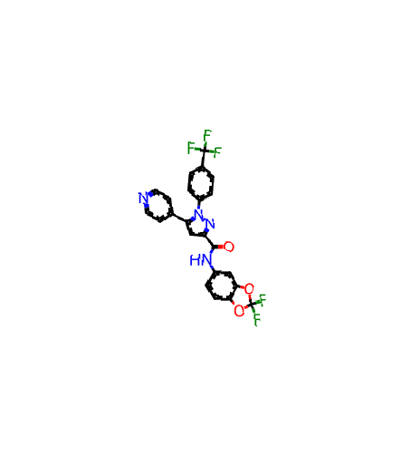 O=C(Nc1ccc2c(c1)OC(F)(F)O2)c1cc(-c2ccncc2)n(-c2ccc(C(F)(F)F)cc2)n1